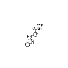 O=C(Cc1ccccc1Cl)Nc1ccnc(C(=O)NC2CC2(F)F)c1